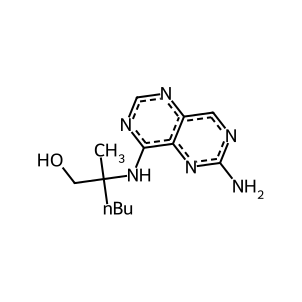 CCCCC(C)(CO)Nc1ncnc2cnc(N)nc12